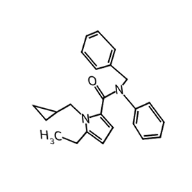 CCc1ccc(C(=O)N(Cc2ccccc2)c2ccccc2)n1CC1CC1